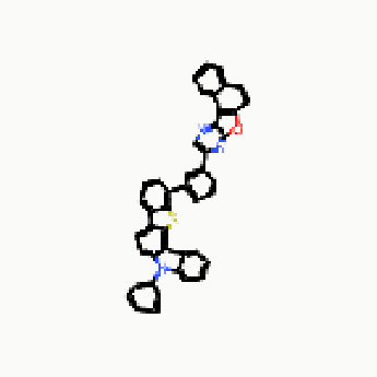 c1ccc(-n2c3ccccc3c3c4sc5c(-c6cccc(-c7cnc8c(n7)oc7ccc9ccccc9c78)c6)cccc5c4ccc32)cc1